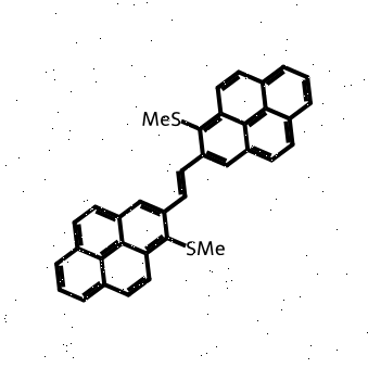 CSc1c(C=Cc2cc3ccc4cccc5ccc(c2SC)c3c45)cc2ccc3cccc4ccc1c2c34